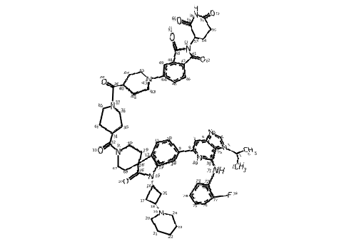 CC(C)n1cnc2cc(-c3ccc4c(c3)N([C@H]3C[C@@H](N5CCCCC5)C3)C(=O)C43CCN(C(=O)C4CCN(C(=O)C5CCN(c6ccc7c(c6)C(=O)N(C6CCC(=O)NC6=O)C7=O)CC5)CC4)CC3)nc(Nc3ccccc3F)c21